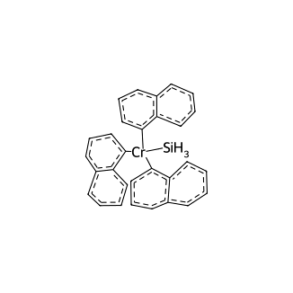 [SiH3][Cr]([c]1cccc2ccccc12)([c]1cccc2ccccc12)[c]1cccc2ccccc12